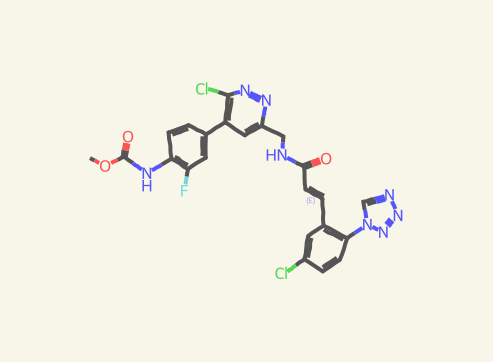 COC(=O)Nc1ccc(-c2cc(CNC(=O)/C=C/c3cc(Cl)ccc3-n3cnnn3)nnc2Cl)cc1F